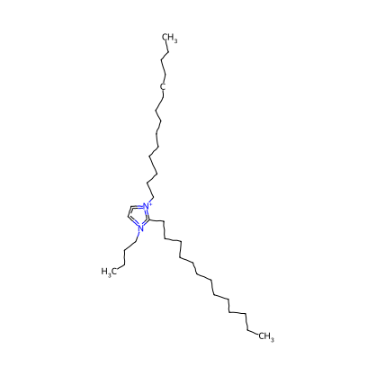 CCCCCCCCCCCCCC[n+]1ccn(CCCC)c1CCCCCCCCCCCCC